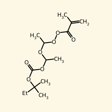 C=C(C)C(=O)OOC(C)OC(C)OC(=O)OC(C)(C)CC